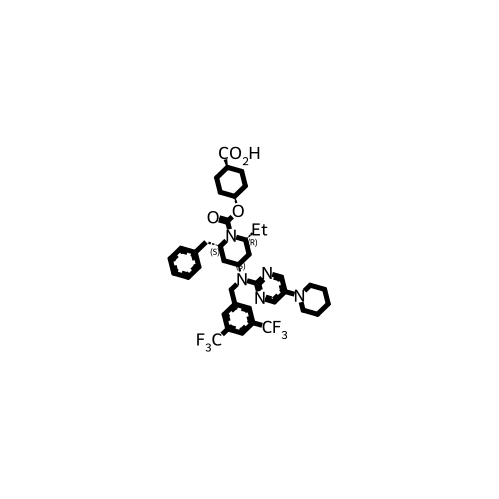 CC[C@@H]1C[C@H](N(Cc2cc(C(F)(F)F)cc(C(F)(F)F)c2)c2ncc(N3CCCCC3)cn2)C[C@H](Cc2ccccc2)N1C(=O)O[C@H]1CC[C@H](C(=O)O)CC1